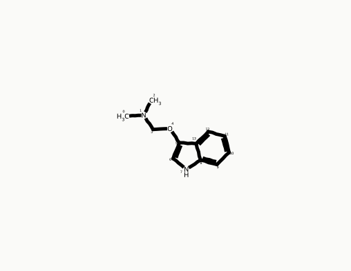 CN(C)COc1c[nH]c2ccccc12